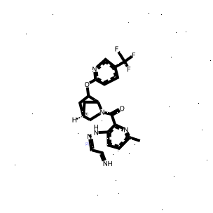 Cc1ccc(N/N=C\C=N)c(C(=O)N2C[C@H]3CC(Oc4ccc(C(F)(F)F)cn4)C2C3)n1